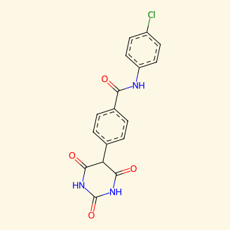 O=C1NC(=O)C(c2ccc(C(=O)Nc3ccc(Cl)cc3)cc2)C(=O)N1